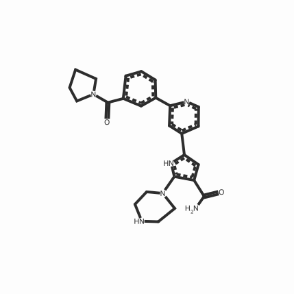 NC(=O)c1cc(-c2ccnc(-c3cccc(C(=O)N4CCCC4)c3)c2)[nH]c1N1CCNCC1